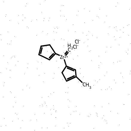 [CH2]=[Zr+2]([C]1=CC=CC1)[C]1=CC(C)=CC1.[Cl-].[Cl-]